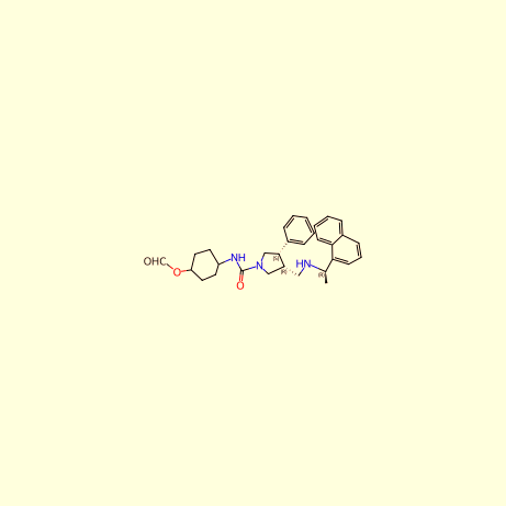 C[C@@H](NC[C@@H]1CN(C(=O)NC2CCC(OC=O)CC2)C[C@@H]1c1ccccc1)c1cccc2ccccc12